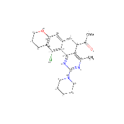 CCCC(C(=O)OC)c1c(C)nc(N2CCCCC2)nc1-c1ccc2c(c1Cl)CCCO2